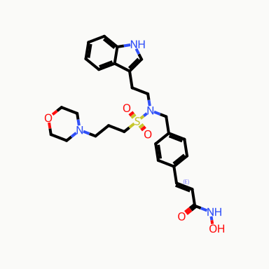 O=C(/C=C/c1ccc(CN(CCc2c[nH]c3ccccc23)S(=O)(=O)CCCN2CCOCC2)cc1)NO